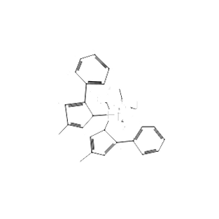 CC1=C[CH]([Hf]([Cl])([Cl])([CH]2C=C(C)C=C2c2ccccc2)[SiH](C)C)C(c2ccccc2)=C1